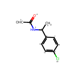 CC(NC(=O)C=O)c1ccc(Cl)cc1